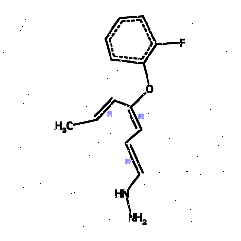 C/C=C/C(=C\C=C\NN)Oc1ccccc1F